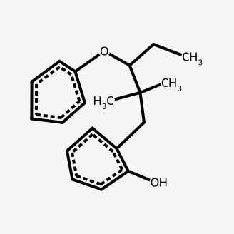 CCC(Oc1ccccc1)C(C)(C)Cc1ccccc1O